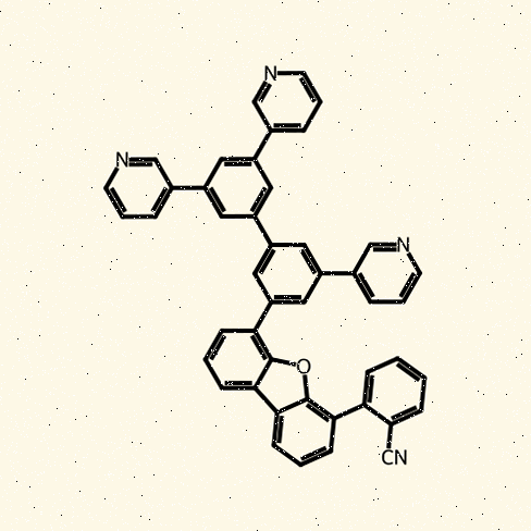 N#Cc1ccccc1-c1cccc2c1oc1c(-c3cc(-c4cccnc4)cc(-c4cc(-c5cccnc5)cc(-c5cccnc5)c4)c3)cccc12